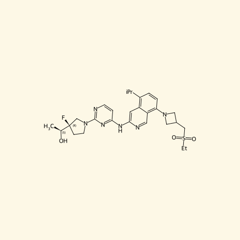 CCS(=O)(=O)CC1CN(c2ccc(C(C)C)c3cc(Nc4ccnc(N5CC[C@](F)([C@H](C)O)C5)n4)ncc23)C1